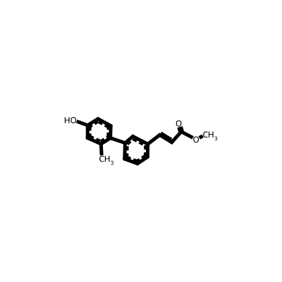 COC(=O)C=Cc1cccc(-c2ccc(O)cc2C)c1